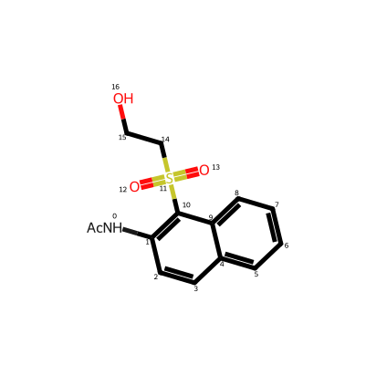 CC(=O)Nc1ccc2ccccc2c1S(=O)(=O)CCO